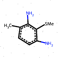 CSc1c(N)ccc(C)c1N